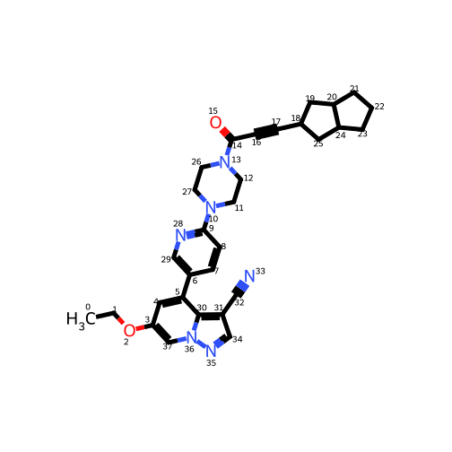 CCOc1cc(-c2ccc(N3CCN(C(=O)C#CC4CC5CCCC5C4)CC3)nc2)c2c(C#N)cnn2c1